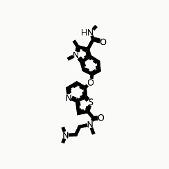 CNC(=O)c1c(C)n(C)c2cc(Oc3ccnc4cc(C(=O)N(C)CCN(C)C)sc34)ccc12